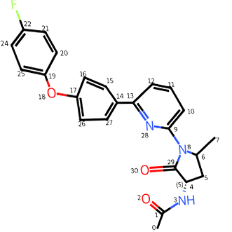 CC(=O)N[C@H]1CC(C)N(c2cccc(-c3ccc(Oc4ccc(F)cc4)cc3)n2)C1=O